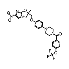 CC1(COc2ccc(N3CCN(C(=O)c4ccc(OC(F)(F)F)cc4)CC3)cc2)Cn2cc([N+](=O)[O-])nc2O1